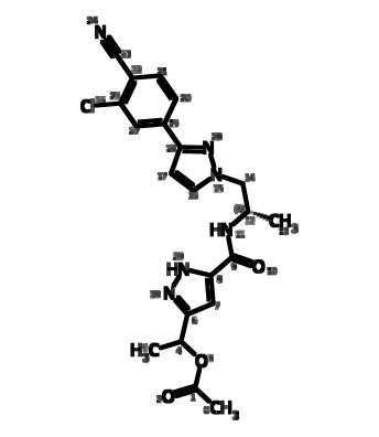 CC(=O)OC(C)c1cc(C(=O)N[C@@H](C)Cn2ccc(-c3ccc(C#N)c(Cl)c3)n2)[nH]n1